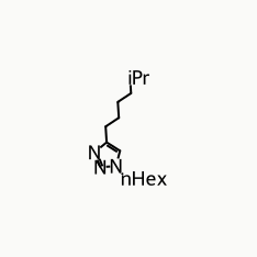 CCCCCCn1cc(CCCCC(C)C)nn1